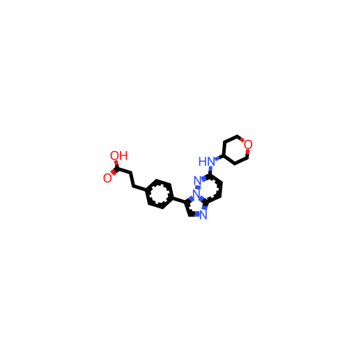 O=C(O)CCc1ccc(-c2cnc3ccc(NC4CCOCC4)nn23)cc1